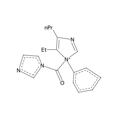 CCCC1=C(CC)[N+](C(=O)n2ccnc2)(c2ccccc2)C=N1